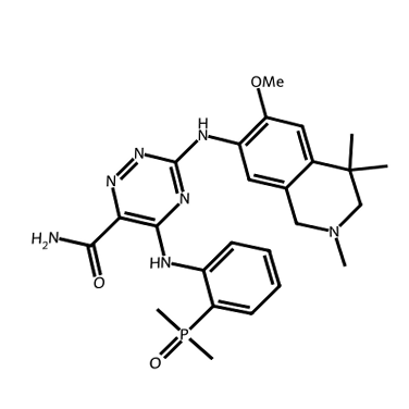 COc1cc2c(cc1Nc1nnc(C(N)=O)c(Nc3ccccc3P(C)(C)=O)n1)CN(C)CC2(C)C